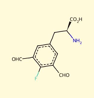 N[C@@H](Cc1cc(C=O)c(F)c(C=O)c1)C(=O)O